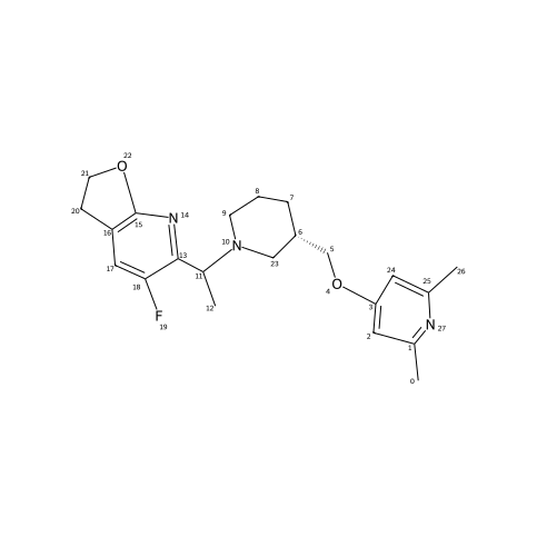 Cc1cc(OC[C@H]2CCCN(C(C)c3nc4c(cc3F)CCO4)C2)cc(C)n1